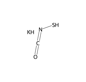 O=C=NS.[KH]